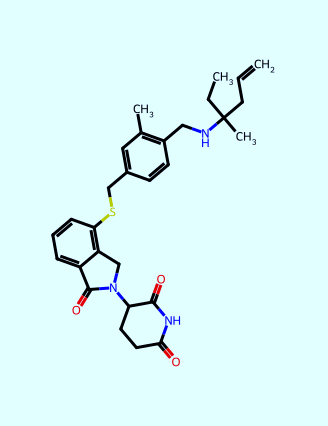 C=CCC(C)(CC)NCc1ccc(CSc2cccc3c2CN(C2CCC(=O)NC2=O)C3=O)cc1C